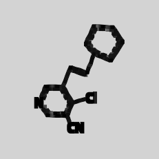 N#Cc1cncc(C=Cc2ccccc2)c1Cl